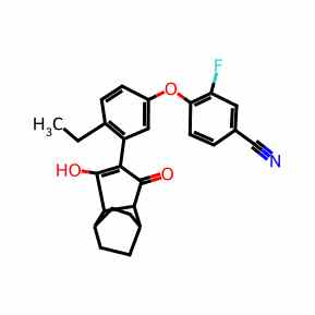 CCc1ccc(Oc2ccc(C#N)cc2F)cc1C1=C(O)C2C3CCC(CC3)C2C1=O